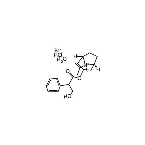 CC(C)[N+]1(C)[C@@H]2CC[C@H]1CC(OC(=O)C(CO)c1ccccc1)C2.Cl.O.[Br-]